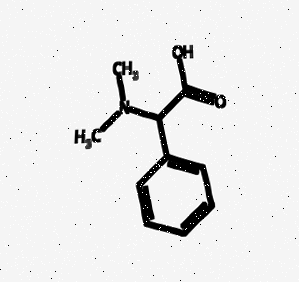 CN(C)C(C(=O)O)c1ccccc1